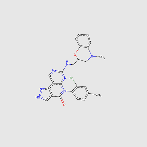 Cc1ccc(-n2c(=O)c3c[nH]nc3c3cnc(NCC4CN(C)c5ccccc5O4)nc32)c(Br)c1